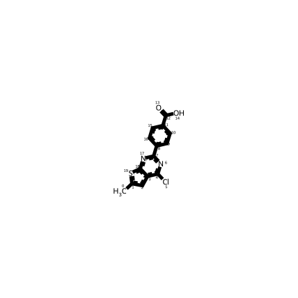 Cc1cc2c(Cl)nc(-c3ccc(C(=O)O)cc3)nc2s1